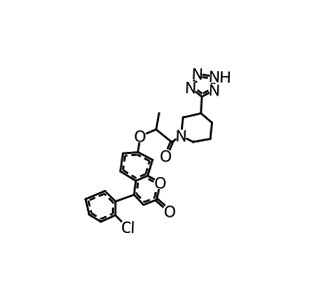 CC(Oc1ccc2c(-c3ccccc3Cl)cc(=O)oc2c1)C(=O)N1CCCC(c2nn[nH]n2)C1